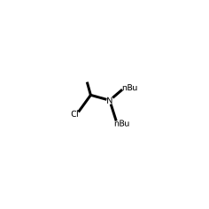 CCCCN(CCCC)C(C)Cl